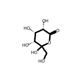 O=C1OC(O)(CO)[C@H](O)[C@H](O)[C@@H]1O